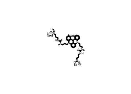 CCO[SiH](CCCNC(=O)N(C)CCCN1c2cccc(OC)c2C2c3c(OC)cccc3N(CCCN(C)C(=O)NCCC[Si](OCC)(OCC)OCC)c3cccc1c32)OCC